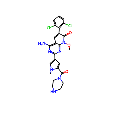 COn1c(=O)c(-c2c(Cl)cccc2Cl)cc2c(N)nc(-c3cc(C(=O)N4CCNCC4)n(C)c3)nc21